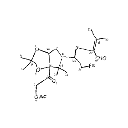 CC(=O)OCC(=O)C12OC(C)(C)OC1CC(C(CF)CC(C=O)=C(C)C)C2(C)C